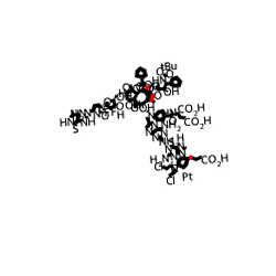 CC(=O)O[C@@]12CO[C@@H]1C[C@H](O)[C@@]1(C)C(=O)[C@H](O)C3=C(C)C(OC(=O)[C@H](O)[C@@H](NC(=O)OC(C)(C)C)c4ccccc4)C[C@@](O)(C(OC(=O)c4ccccc4)C12)C3(C)C.CN(Cc1cnc2nc(N)nc(N)c2n1)c1ccc(C(=O)N[C@@H](CCC(=O)O)C(=O)O)cc1.Nc1ccn([C@@H]2O[C@H](CO)[C@@H](O)C2(F)F)c(=O)n1.Nc1nc(=S)c2[nH]cnc2[nH]1.O=C(O)CCCc1ccc(N(CCCl)CCCl)cc1.S=c1[nH]cnc2nc[nH]c12.[Pt]